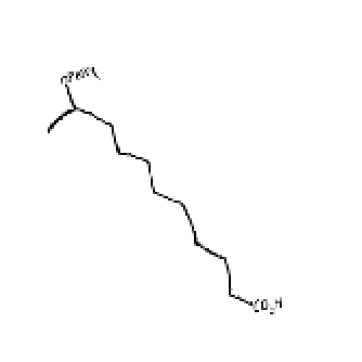 CCCCCC(C)CCCCCCCCC(=O)O